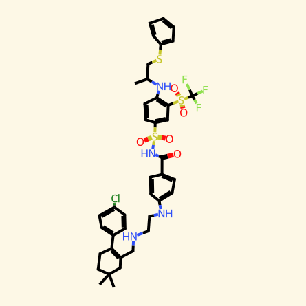 CC(CSc1ccccc1)Nc1ccc(S(=O)(=O)NC(=O)c2ccc(NCCNCC3=C(c4ccc(Cl)cc4)CCC(C)(C)C3)cc2)cc1S(=O)(=O)C(F)(F)F